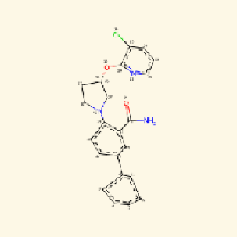 NC(=O)c1cc(-c2ccccc2)ccc1N1CC[C@H](Oc2ncccc2Cl)C1